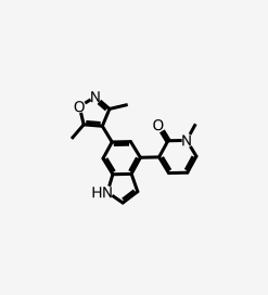 Cc1noc(C)c1-c1cc(-c2cccn(C)c2=O)c2cc[nH]c2c1